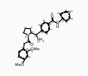 COc1ccc(CC(=O)N2CCCC2C(N)c2ccc(C(=O)Nc3ccncc3)cc2)c(OC)c1